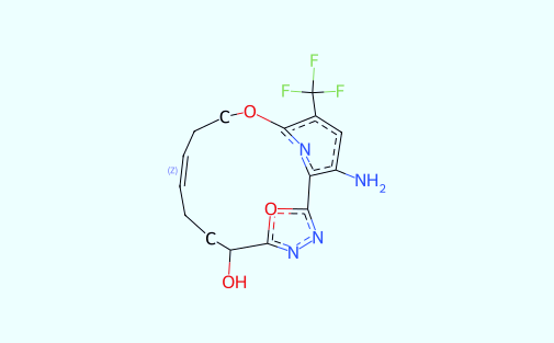 Nc1cc(C(F)(F)F)c2nc1-c1nnc(o1)C(O)CC/C=C\CCO2